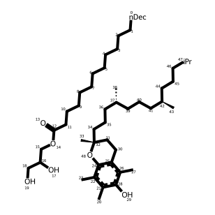 CCCCCCCCCCCCCCCCCCCCCC(=O)OCC(O)CO.Cc1c(C)c2c(c(C)c1O)CC[C@@](C)(CCC[C@H](C)CCC[C@H](C)CCCC(C)C)O2